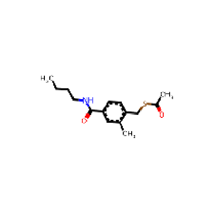 CCCCNC(=O)c1ccc(CSC(C)=O)c(C)c1